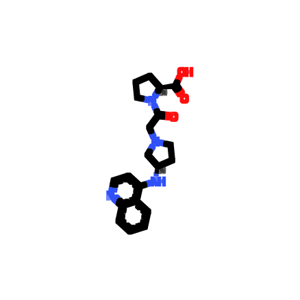 O=C(O)[C@@H]1CCCN1C(=O)CN1CC[C@H](Nc2ccnc3ccccc23)C1